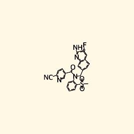 CS(=O)(=O)c1ccccc1N(Cc1ccc2cc(F)c(N)nc2c1)C(=O)c1ccc(C#N)nc1